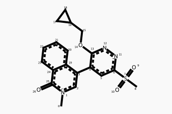 Cn1cc(-c2cc(S(C)(=O)=O)nnc2OCC2CC2)c2ccccc2c1=O